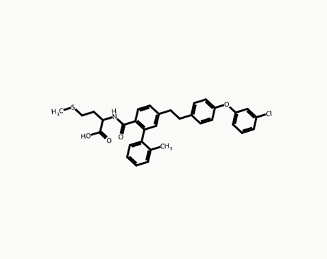 CSCCC(NC(=O)c1ccc(CCc2ccc(Oc3cccc(Cl)c3)cc2)cc1-c1ccccc1C)C(=O)O